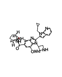 COc1cc(C(=O)N2C[C@H]3CC[C@@H]2[C@@H]3N)cc2nc(-c3cc4cccnc4n3CC3CC3)n(C3CNC3)c12